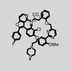 COc1ccccc1-c1nccc(COc2ccccc2C[C@H](Nc2nccc3oc(-c4ccc(F)cc4)c(-c4ccc(OCCN5CCN(C)CC5)c(Cl)c4C)c23)C(=O)O)n1